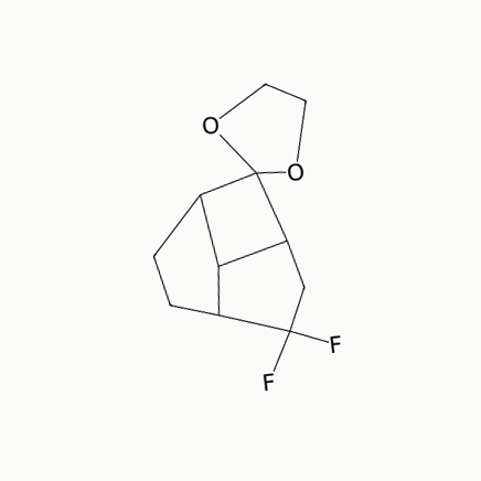 FC1(F)CC2C3C1CCC3C21OCCO1